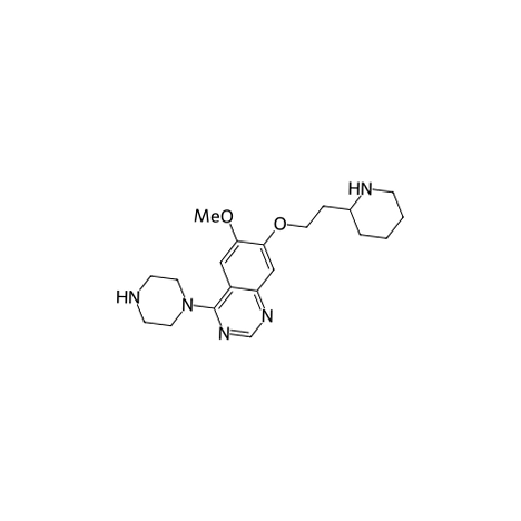 COc1cc2c(N3CCNCC3)ncnc2cc1OCCC1CCCCN1